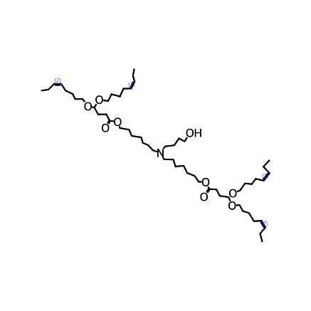 CC/C=C\CCCCOC(CCC(=O)OCCCCCCCN(CCCCO)CCCCCCCOC(=O)CCC(OCCCC/C=C\CC)OCCCC/C=C\CC)OCCCC/C=C\CC